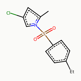 CCc1ccc(S(=O)(=O)n2cc(Cl)cc2C)cc1